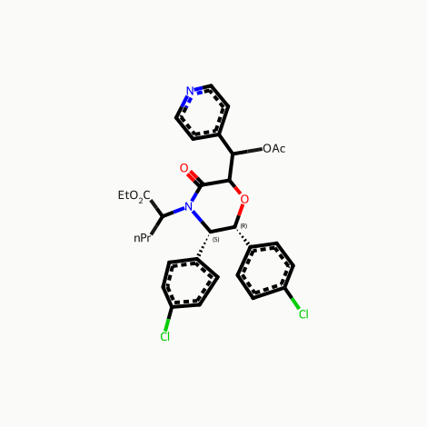 CCCC(C(=O)OCC)N1C(=O)C(C(OC(C)=O)c2ccncc2)O[C@H](c2ccc(Cl)cc2)[C@@H]1c1ccc(Cl)cc1